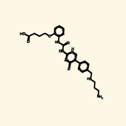 NCCCNCc1ccc(-c2c[nH]c(NC(=O)Nc3ccccc3OCCCC(=O)O)nc2=O)cc1